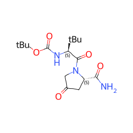 CC(C)(C)OC(=O)N[C@H](C(=O)N1CC(=O)C[C@H]1C(N)=O)C(C)(C)C